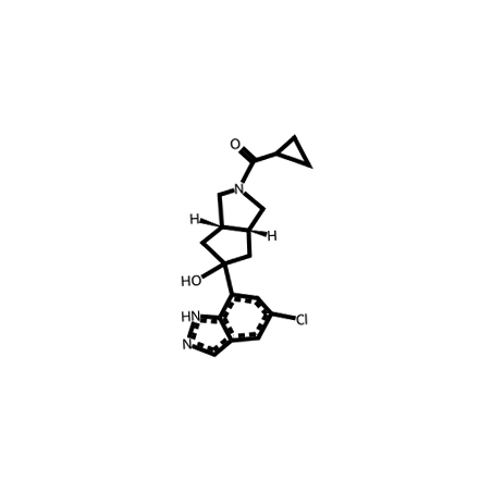 O=C(C1CC1)N1C[C@@H]2CC(O)(c3cc(Cl)cc4cn[nH]c34)C[C@@H]2C1